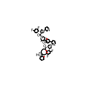 C[C@@H]1CCCC(C(=O)[C@@H]2CN(c3ncccc3-c3ccc([C@]4(O)[C@H](C)CN(C(=O)[C@@H]5CN(c6cccnc6)C[C@H]5c5ccc(F)cc5F)C[C@@H]4C)cc3)C[C@H]2c2ccc(F)cc2F)CC[C@H](C)[C@]1(O)c1ccccc1